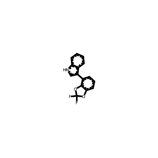 FC1(F)Oc2cccc(-c3c[nH]c4ccccc34)c2O1